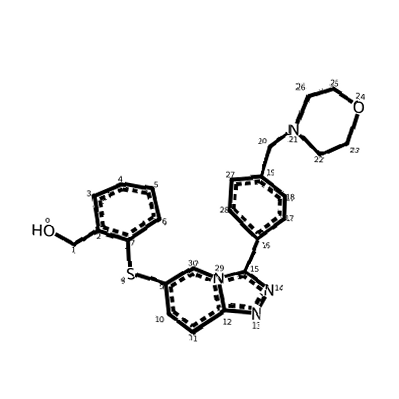 OCc1ccccc1Sc1ccc2nnc(-c3ccc(CN4CCOCC4)cc3)n2c1